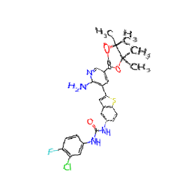 CC1(C)OB(c2cnc(N)c(-c3cc4cc(NC(=O)Nc5ccc(F)c(Cl)c5)ccc4s3)c2)OC1(C)C